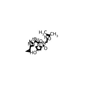 Cc1nc(CNC(=O)[C@@H]2C[C@@H](O)CN2C(=O)[C@@H](n2cc(C3CC3)nn2)C(C)(C)C)oc1C